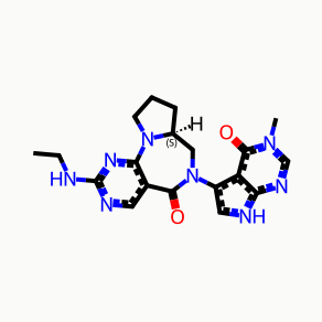 CCNc1ncc2c(n1)N1CCC[C@H]1CN(c1c[nH]c3ncn(C)c(=O)c13)C2=O